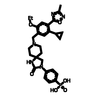 CCOc1cc(-c2nc(C)no2)c(C2CC2)cc1CN1CCC2(CC1)CN(c1ccc(P(=O)(O)O)cc1)C(=O)N2